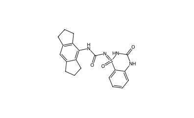 O=C(N=S1(=O)NC(=O)Nc2ccccc21)Nc1c2c(cc3c1CCC3)CCC2